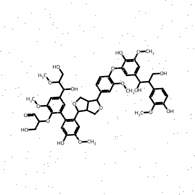 COc1cc(C(CO)C(O)c2cc(OC)c(O)c(Oc3ccc(C4OCC5C(c6cc(OC)c(O)cc6-c6cc(C(O)C(CO)OC)cc(OC)c6OC(C=O)CO)OCC45)cc3OC)c2)ccc1O